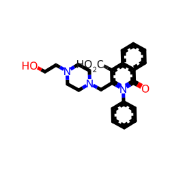 O=C(O)c1c(CN2CCN(CCO)CC2)n(-c2ccccc2)c(=O)c2ccccc12